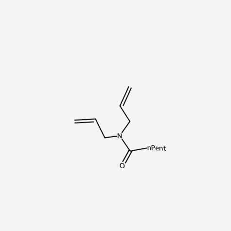 C=CCN(CC=C)C(=O)CCCCC